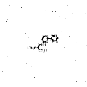 O=C(O)C(=CNc1ccnc(-c2cccnc2)n1)C(=O)O